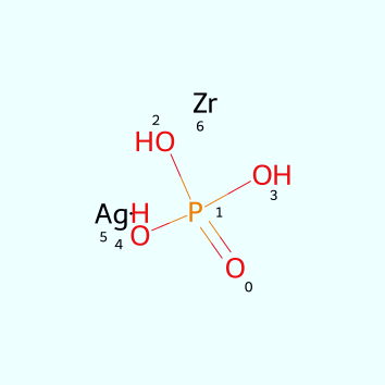 O=P(O)(O)O.[Ag].[Zr]